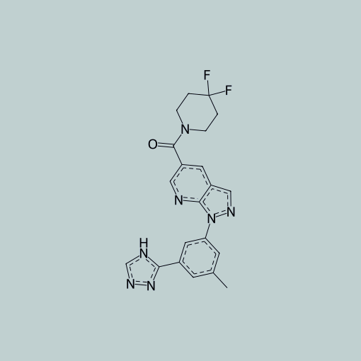 Cc1cc(-c2nnc[nH]2)cc(-n2ncc3cc(C(=O)N4CCC(F)(F)CC4)cnc32)c1